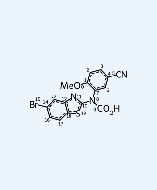 COc1ccc(C#N)cc1N(C(=O)O)c1nc2cc(Br)ccc2s1